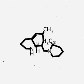 CC1C=C2CCCN[C@H]2C(CN2CCCC[C@@H]2C)C1